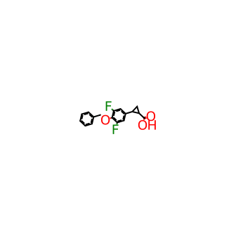 O=C(O)C1CC1c1cc(F)c(OCc2ccccc2)c(F)c1